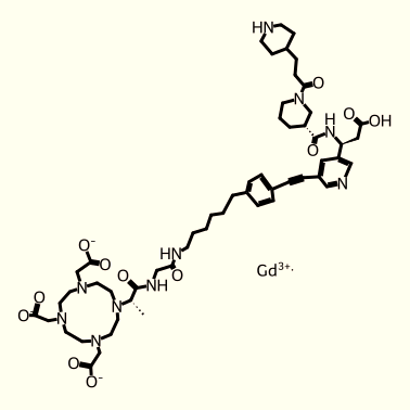 C[C@@H](C(=O)NCC(=O)NCCCCCCc1ccc(C#Cc2cncc([C@H](CC(=O)O)NC(=O)[C@@H]3CCCN(C(=O)CCC4CCNCC4)C3)c2)cc1)N1CCN(CC(=O)[O-])CCN(CC(=O)[O-])CCN(CC(=O)[O-])CC1.[Gd+3]